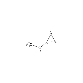 COC1[CH]O1